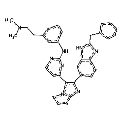 CN(C)CCc1cccc(Nc2nccc(-c3c(-c4ccc5nc(Cc6ccccc6)[nH]c5c4)nc4sccn34)n2)c1